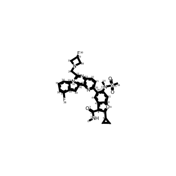 CNC(=O)c1c(C2CC2)oc2cc(N(C)S(C)(=O)=O)c(-c3ccc4nc(CN5CC(F)C5)n5c6cccc(F)c6cc5c4n3)cc12